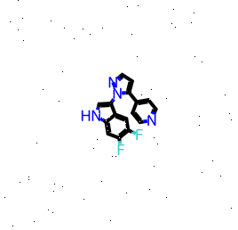 Fc1cc2[nH]cc(-n3nccc3-c3ccncc3)c2cc1F